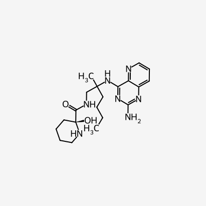 CCCCC(C)(CNC(=O)[C@@]1(O)CCCCN1)Nc1nc(N)nc2cccnc12